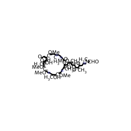 CO[C@H]1CC2=CC(=O)O[C@@H]([C@H](C)[C@@H](OC)C[C@H](OC)/C=C/[C@H](C)[C@@H](O)C[C@@H](OC)/C=C/[C@H](C)[C@@H]([C@@H](C)[C@@H](OC)[C@@H](C)CCC(=O)[C@H](C)[C@@H](C/C=C/N(C)C=O)OC)OC(=O)/C=C\C=C(/C)C1)[C@H]2O